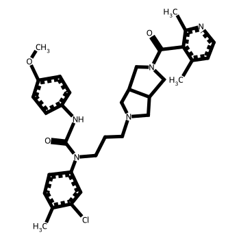 COc1ccc(NC(=O)N(CCCN2CC3CN(C(=O)c4c(C)ccnc4C)CC3C2)c2ccc(C)c(Cl)c2)cc1